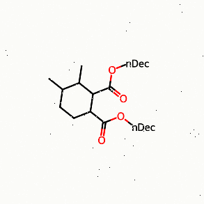 CCCCCCCCCCOC(=O)C1CCC(C)C(C)C1C(=O)OCCCCCCCCCC